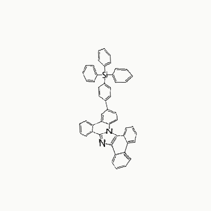 c1ccc([Si](c2ccccc2)(c2ccccc2)c2ccc(-c3ccc4c(c3)c3ccccc3c3nc5c6ccccc6c6ccccc6c5n43)cc2)cc1